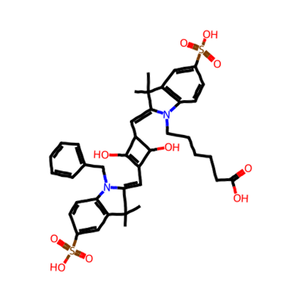 CC1(C)C(=CC2C(O)=C(C=C3N(Cc4ccccc4)c4ccc(S(=O)(=O)O)cc4C3(C)C)C2O)N(CCCCCC(=O)O)c2ccc(S(=O)(=O)O)cc21